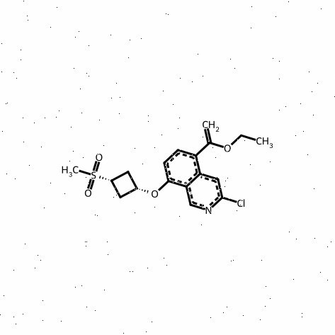 C=C(OCC)c1ccc(O[C@H]2C[C@@H](S(C)(=O)=O)C2)c2cnc(Cl)cc12